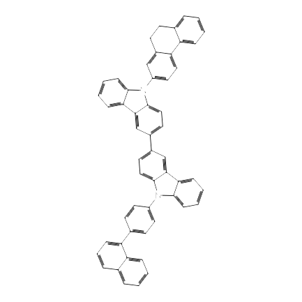 c1ccc2c(c1)CCc1cc(-n3c4ccccc4c4cc(-c5ccc6c(c5)c5ccccc5n6-c5ccc(-c6cccc7ccccc67)cc5)ccc43)ccc1-2